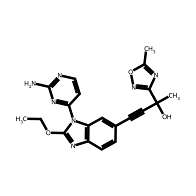 CCOc1nc2ccc(C#CC(C)(O)c3noc(C)n3)cc2n1-c1ccnc(N)n1